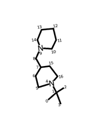 CC(C)(C)N1CCC(CN2CCCCC2)CC1